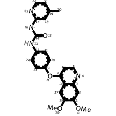 COc1cc2nccc(Oc3ccc(NC(=O)[N]c4cc(C)ccn4)cc3)c2cc1OC